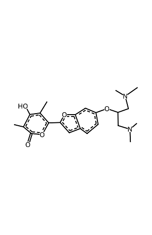 Cc1c(-c2cc3ccc(OC(CN(C)C)CN(C)C)cc3o2)oc(=O)c(C)c1O